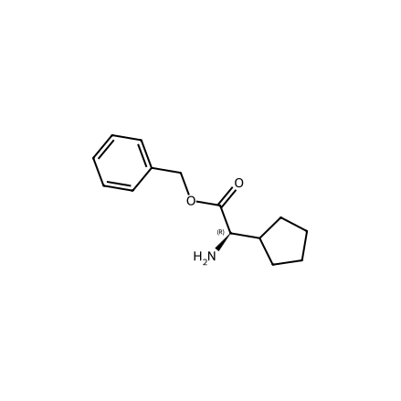 N[C@@H](C(=O)OCc1ccccc1)C1CCCC1